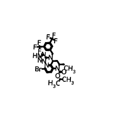 CCC1CC(N(Cc2cc(C(F)(F)F)cc(C(F)(F)F)c2)c2nn[nH]n2)c2nc(Br)ccc2N1C(=O)OC(C)C